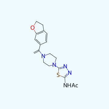 C=C(c1ccc2c(c1)OCC2)N1CCN(c2nnc(NC(C)=O)s2)CC1